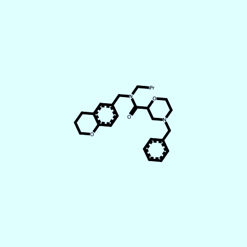 CC(C)CN(Cc1ccc2c(c1)CCCO2)C(=O)C1CN(Cc2ccccc2)CCO1